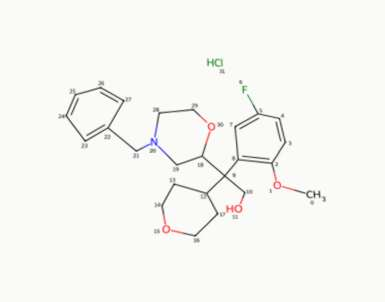 COc1ccc(F)cc1C(CO)(C1CCOCC1)C1CN(Cc2ccccc2)CCO1.Cl